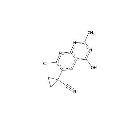 Cc1nc(O)c2cc(C3(C#N)CC3)c(Cl)nc2n1